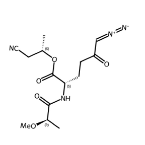 CO[C@H](C)C(=O)N[C@@H](CCC(=O)C=[N+]=[N-])C(=O)O[C@@H](C)CC#N